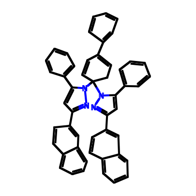 C1=CC(n2nc(-c3ccc4ccccc4c3)cc2-c2ccccc2)(n2nc(-c3ccc4ccccc4c3)cc2-c2ccccc2)CC=C1c1ccccc1